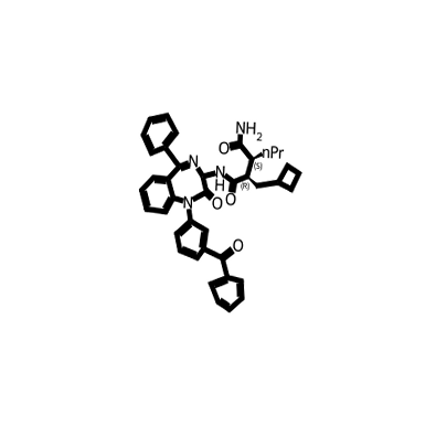 CCC[C@H](C(N)=O)[C@@H](CC1CCC1)C(=O)NC1N=C(c2ccccc2)c2ccccc2N(c2cccc(C(=O)c3ccccc3)c2)C1=O